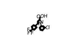 O=C(O)c1cc(-c2ccc(C(F)(F)F)cc2)n(-c2cccc(Cl)c2)n1